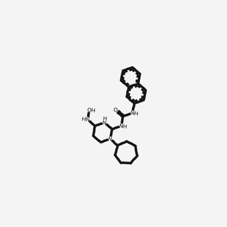 O=C(Nc1ccc2ccccc2c1)NC1NC(NO)CCN1C1CCCCCC1